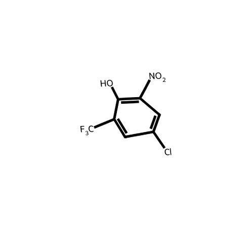 O=[N+]([O-])c1cc(Cl)cc(C(F)(F)F)c1O